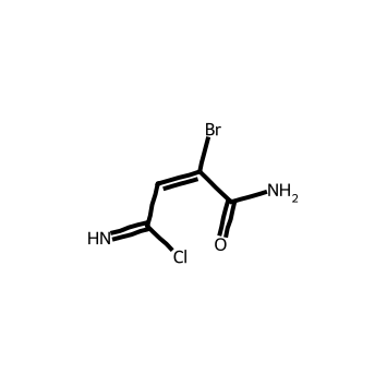 N=C(Cl)/C=C(/Br)C(N)=O